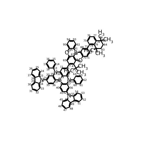 CC(C)(C)c1c(-c2cc3c4c(c2)N(c2ccccc2)c2cc(-n5c6ccccc6c6ccccc65)ccc2B4c2ccc(-n4c5ccccc5c5ccccc54)cc2N3c2ccccc2)cc2c3c1Oc1ccc(-c4cccc5c4C(C)(C)CCC5(C)C)cc1B3c1ccccc1O2